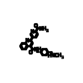 CNC[C@H]1CC[C@H](CNC(=O)c2cc(-c3ccc(C(N)=O)nc3)nc3ccccc23)CC1